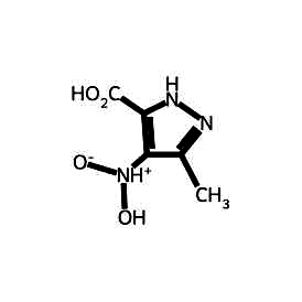 Cc1n[nH]c(C(=O)O)c1[NH+]([O-])O